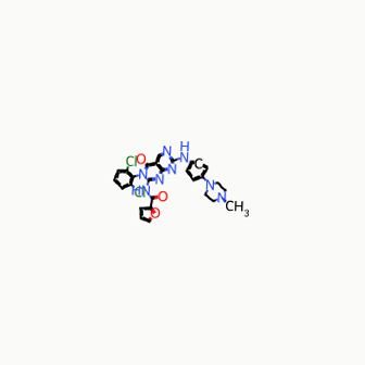 CN1CCN(c2ccc(Nc3ncc4c(=O)n(-c5c(Cl)cccc5Cl)c(NC(=O)c5ccco5)nc4n3)cc2)CC1